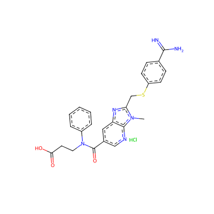 Cl.Cn1c(CSc2ccc(C(=N)N)cc2)nc2cc(C(=O)N(CCC(=O)O)c3ccccc3)cnc21